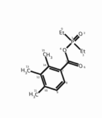 CCP(=O)(CC)OC(=O)c1ccc(C)c(C)c1C